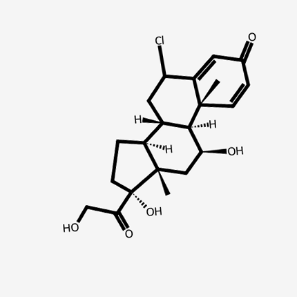 C[C@]12C=CC(=O)C=C1C(Cl)C[C@@H]1[C@@H]2[C@@H](O)C[C@@]2(C)[C@H]1CC[C@]2(O)C(=O)CO